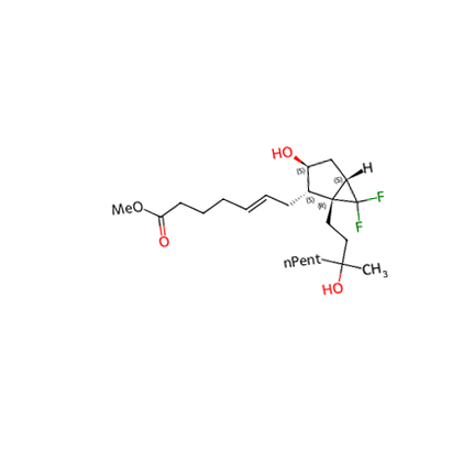 CCCCCC(C)(O)CC[C@@]12[C@H](CC=CCCCC(=O)OC)[C@@H](O)C[C@@H]1C2(F)F